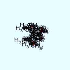 CC(C)(C)c1cc(-c2ccc3c(c2)N(c2cc(-c4ccccc4)cc(-c4ccccc4)c2)c2cc(-n4c5ccccc5c5cc(-n6c7ccccc7c7ccccc76)ccc54)cc4c2B3c2ccc(-n3c5ccc(C(C)(C)C)cc5c5cc(C(C)(C)C)ccc53)cc2N4c2cc(-c3ccccc3)cc(-c3ccccc3)c2)cc(C(C)(C)C)c1